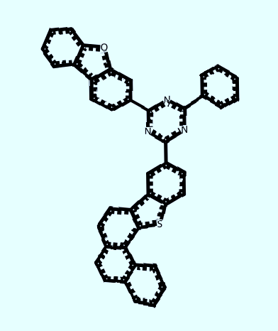 c1ccc(-c2nc(-c3ccc4c(c3)oc3ccccc34)nc(-c3ccc4sc5c(ccc6ccc7ccccc7c65)c4c3)n2)cc1